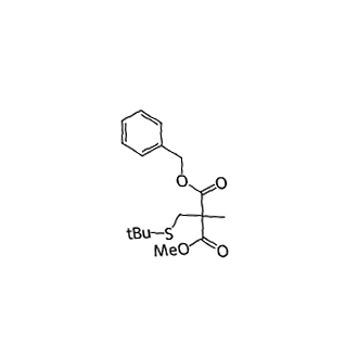 COC(=O)C(C)(CSC(C)(C)C)C(=O)OCc1ccccc1